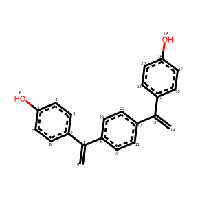 C=C(c1ccc(O)cc1)c1ccc(C(=C)c2ccc(O)cc2)cc1